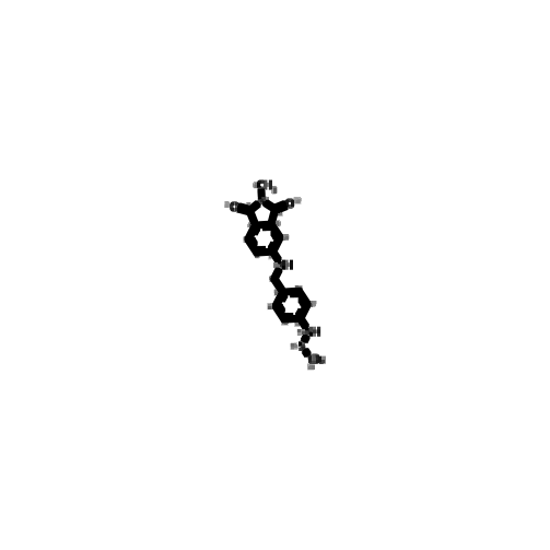 CN1C(=O)c2ccc(NCc3ccc(NSC(C)(C)C)cc3)cc2C1=O